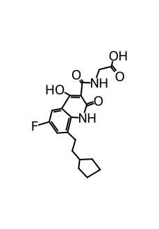 O=C(O)CNC(=O)c1c(O)c2cc(F)cc(CCC3CCCC3)c2[nH]c1=O